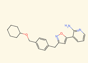 Nc1ncccc1-c1cc(Cc2ccc(COC3CCCCC3)cc2)no1